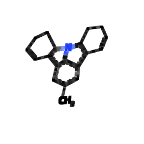 Cc1cc2c3c(n4c5c(c(c1)c24)C=CCC5)CCC=C3